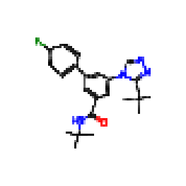 CC(C)(C)NC(=O)c1cc(-c2ccc(F)cc2)cc(-n2cnnc2C(C)(C)C)c1